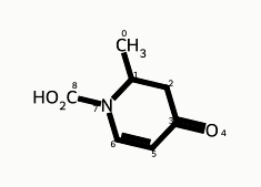 CC1CC(=O)C=CN1C(=O)O